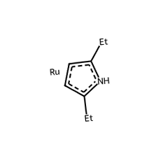 CCc1ccc(CC)[nH]1.[Ru]